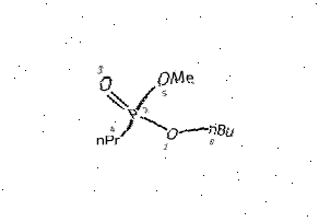 CCCCOP(=O)(CCC)OC